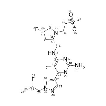 Cc1c(NC[C@@H]2C[C@H](F)CN2CCS(C)(=O)=O)nc(N)nc1-c1cnn(CC(F)F)c1